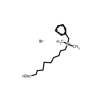 CCCCCCCCCCCCCCCCCCC[N+](C)(C)Cc1ccccc1.[Br-]